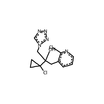 OC(Cc1cccnc1Cl)(Cn1cnnn1)C1(Cl)CC1